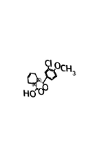 COc1ccc(C(=O)[C@H]2CC=CC[C@H]2C(=O)O)cc1Cl